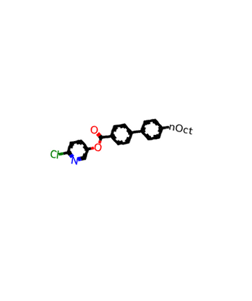 CCCCCCCCc1ccc(-c2ccc(C(=O)Oc3ccc(Cl)nc3)cc2)cc1